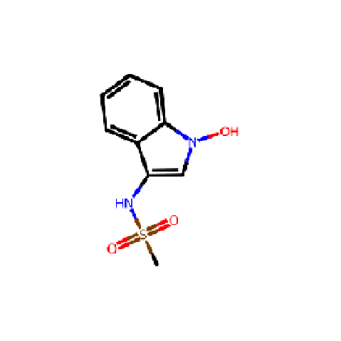 CS(=O)(=O)Nc1cn(O)c2ccccc12